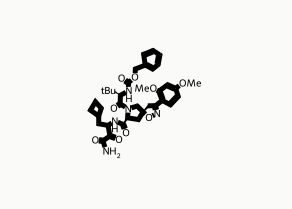 COc1ccc(C2=NO[C@]3(C2)C[C@@H](C(=O)NC(CC2CCC2)C(=O)C(N)=O)N(C(=O)[C@@H](NC(=O)OCc2ccccc2)C(C)(C)C)C3)c(OC)c1